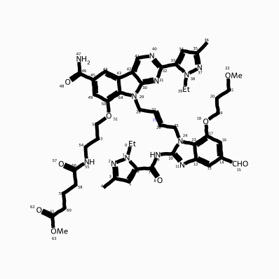 CCn1nc(C)cc1C(=O)Nc1nc2cc(C=O)cc(OCCCOC)c2n1C/C=C/Cn1c2nc(-c3cc(C)nn3CC)ncc2c2cc(C(N)=O)cc(OCCCNC(=O)CCCC(=O)OC)c21